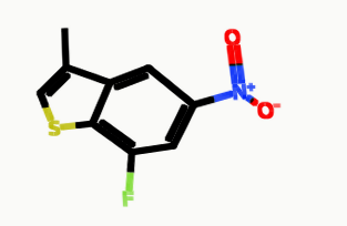 Cc1csc2c(F)cc([N+](=O)[O-])cc12